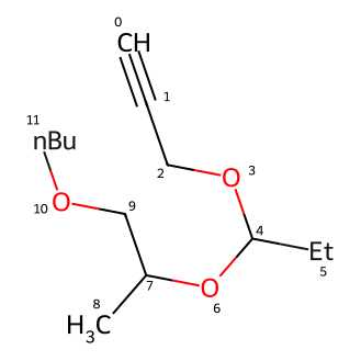 C#CCOC(CC)OC(C)COCCCC